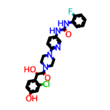 O=C(Nc1ccc(N2CCN(C(=O)C(O)c3ccc(O)cc3Cl)CC2)nc1)Nc1ccccc1F